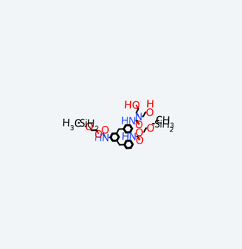 C[SiH2]COCCOC(=O)Nc1cccc(Cc2cc(Cc3cccc(NC(=O)N(CCO)CCO)c3)cc(NC(=O)OCCOC[SiH2]C)c2)c1